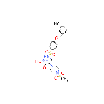 CS(=O)(=O)N1CCN([C@@H](CNS(=O)(=O)c2ccc(OCc3cccc(C#N)c3)cc2)C(=O)NO)CC1